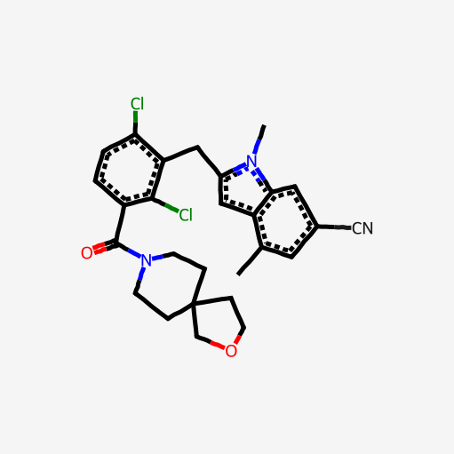 Cc1cc(C#N)cc2c1cc(Cc1c(Cl)ccc(C(=O)N3CCC4(CCOC4)CC3)c1Cl)n2C